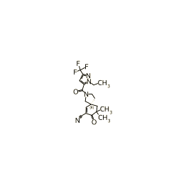 CCn1nc(C(F)(F)F)cc1C(=O)N1CC[C@]2(C=C(C#N)C(=O)C(C)(C)C2)C1